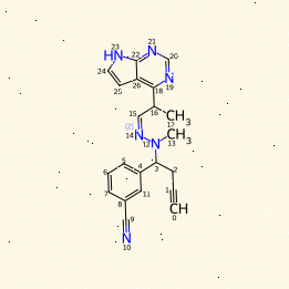 C#CCC(c1cccc(C#N)c1)N(C)/N=C\C(C)c1ncnc2[nH]ccc12